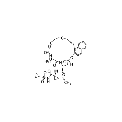 C=C[C@@H]1C[C@]1(NC(=O)[C@@H]1C[C@@H]2CN1C(=O)C(C(C)(C)C)NC(=O)OCCCCC/C=C/c1c(ccc3ccccc13)O2)C(=O)NS(=O)(=O)C1CC1